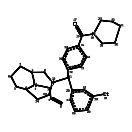 C=CCN1C2CCCC1CN(C(c1ccc(C(=O)N3CCCCC3)cc1)c1cccc(CC)c1)CC2